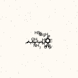 Br.C=CCC(O)C(N)CCCNc1cc(C)ccc1[N+](=O)[O-].[MgH2]